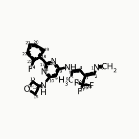 C=N/C=C(\C=C(/C)Nc1cc(NC2COC2)nc(-c2ccccc2F)n1)C(F)(F)F